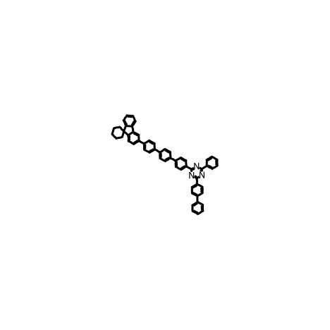 c1ccc(-c2ccc(-c3nc(-c4ccccc4)nc(-c4ccc(-c5ccc(-c6ccc(-c7ccc8c(c7)-c7ccccc7C87CCCCC7)cc6)cc5)cc4)n3)cc2)cc1